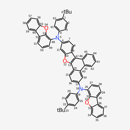 CC(C)(C)c1ccc(N(c2ccc3c(c2)oc2c4ccc(N(c5ccc(C(C)(C)C)cc5)c5cccc6c5oc5ccccc56)cc4c4ccccc4c32)c2cccc3c2oc2ccccc23)cc1